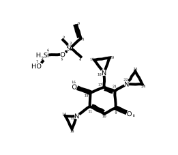 C=C[Si](C)(C)O[SiH2]O.O=C1C=C(N2CC2)C(=O)C(N2CC2)=C1N1CC1